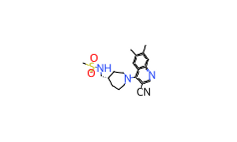 Cc1cc2ncc(C#N)c(N3CCC[C@H](CNS(C)(=O)=O)CC3)c2cc1C